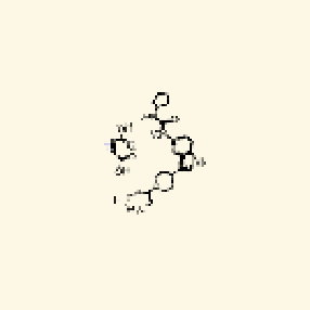 CCC(CC)N1CCC(c2c[nH]c3ccc(NC(=O)NC4CCCC4)nc23)CC1.O=C(O)/C=C\C(=O)O